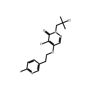 CC(C)(Cl)Cn1ncc(OCCc2ccc(I)nc2)c(Cl)c1=O